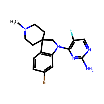 CN1CCC2(CC1)CN(c1nc(N)ncc1F)c1cc(Br)ccc12